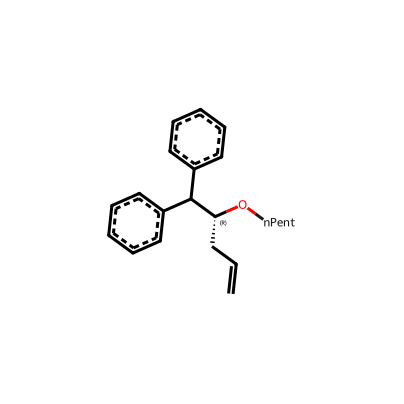 C=CC[C@@H](OCCCCC)C(c1ccccc1)c1ccccc1